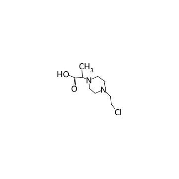 CC(C(=O)O)N1CCN(CCCl)CC1